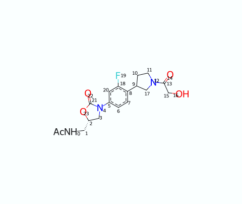 CC(=O)NC[C@H]1CN(c2ccc(C3CCN(C(=O)CO)C3)c(F)c2)C(=O)O1